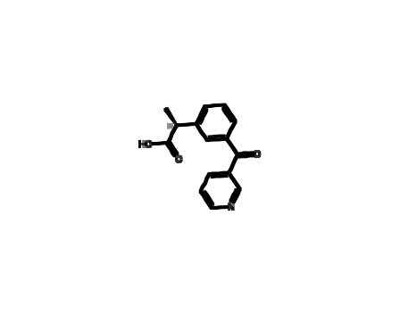 C[C@H](C(=O)O)c1cccc(C(=O)c2cccnc2)c1